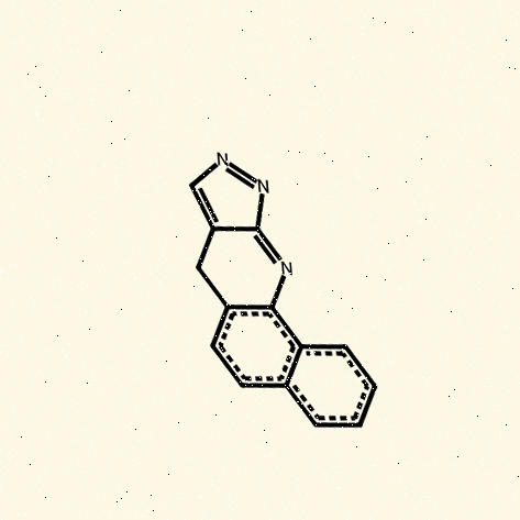 C1=C2Cc3ccc4ccccc4c3N=C2N=N1